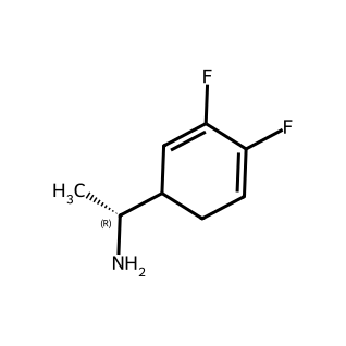 C[C@@H](N)C1C=C(F)C(F)=CC1